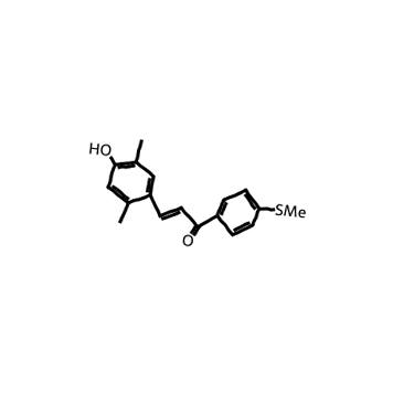 CSc1ccc(C(=O)/C=C/c2cc(C)c(O)cc2C)cc1